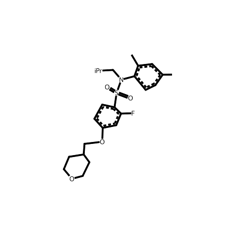 Cc1ccc(N(CC(C)C)S(=O)(=O)c2ccc(OCC3CCOCC3)cc2F)c(C)c1